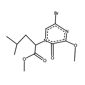 COC(=O)C(CC(C)C)n1cc(Br)nc(OC)c1=O